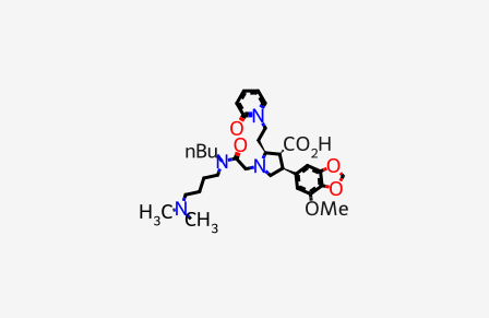 CCCCN(CCCCN(C)C)C(=O)CN1C[C@H](c2cc(OC)c3c(c2)OCO3)[C@@H](C(=O)O)[C@@H]1CCn1ccccc1=O